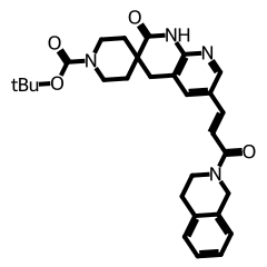 CC(C)(C)OC(=O)N1CCC2(CC1)Cc1cc(C=CC(=O)N3CCc4ccccc4C3)cnc1NC2=O